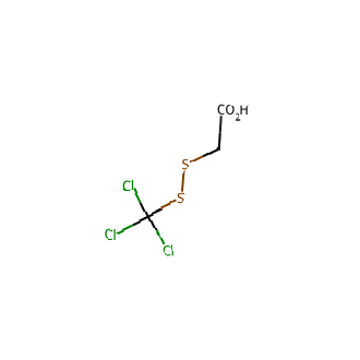 O=C(O)CSSC(Cl)(Cl)Cl